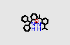 CC(C)c1cccc(C(C)C)c1NC(=O)NC(c1ccccc1)(c1ccccc1)c1ccccc1